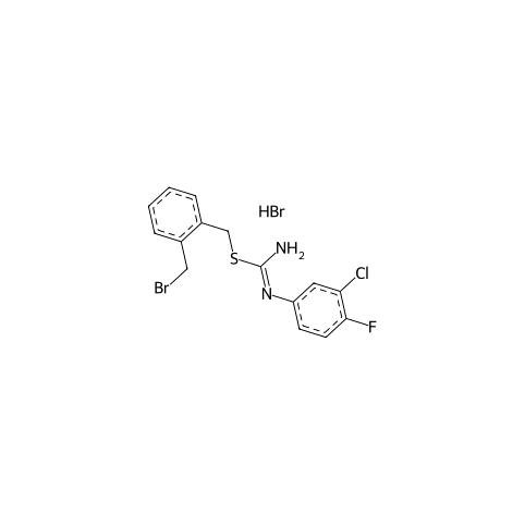 Br.N/C(=N\c1ccc(F)c(Cl)c1)SCc1ccccc1CBr